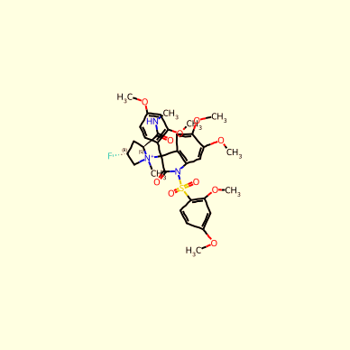 CNC(=O)[C@@H]1C[C@@H](F)C[N+]1(C)C1(c2ccc(OC)cc2OC)C(=O)N(S(=O)(=O)c2ccc(OC)cc2OC)c2cc(OC)c(OC)cc21